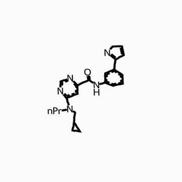 CCCN(CC1CC1)c1cc(C(=O)Nc2cccc(C3=NCC=C3)c2)ncn1